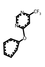 FC(F)(F)c1cc(Oc2ccccc2)n[c]n1